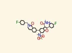 CNC(=O)c1c(-c2ccc(F)cc2)oc2cc(N(C)S(C)(=O)=O)c(-c3ccc4ccn(Cc5ccc(F)cc5)c(=O)c4c3)cc12